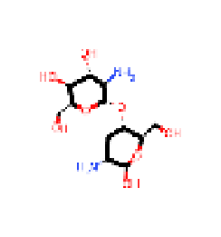 N[C@H]1[C@H](O[C@H]2C[C@@H](N)[C@H](O)O[C@@H]2CO)O[C@H](CO)[C@@H](O)[C@@H]1O